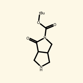 CC(C)(C)OC(=O)N1CC2CNCC2C1=O